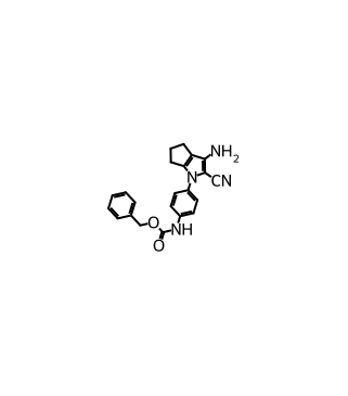 N#Cc1c(N)c2c(n1-c1ccc(NC(=O)OCc3ccccc3)cc1)CCC2